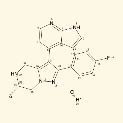 Cc1c[nH]c2nccc(-c3c(-c4ccc(F)cc4)nn4c3CN[C@@H](C)C4)c12.[Cl-].[H+]